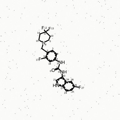 O=C(Nc1ccc(CN2CCC(F)(F)CC2)c(F)c1)Nc1c[nH]c2ccc(F)cc12